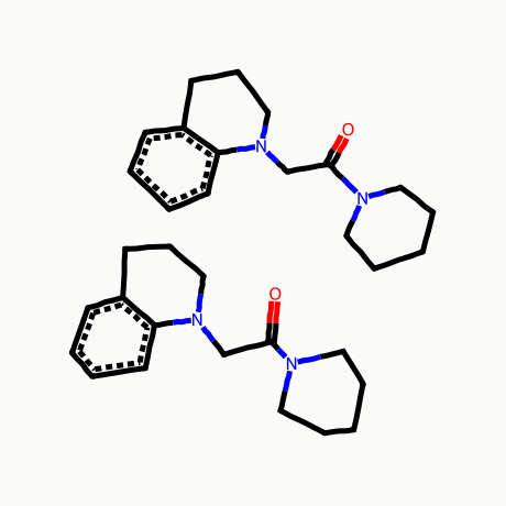 O=C(CN1CCCc2ccccc21)N1CCCCC1.O=C(CN1CCCc2ccccc21)N1CCCCC1